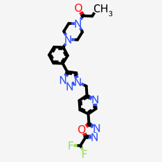 CCC(=O)N1CCN(c2cccc(-c3cn(Cc4ccc(-c5nnc(C(F)F)o5)cn4)nn3)c2)CC1